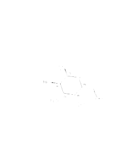 O=C(O)[C@H]1O[C@H](CO)[C@H](O)[C@H](O)[C@H]1O